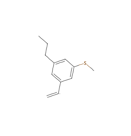 C=[C]c1cc(CCC)cc(SC)c1